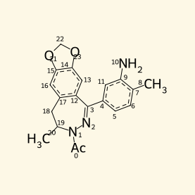 CC(=O)N1N=C(c2ccc(C)c(N)c2)c2cc3c(cc2CC1C)OCO3